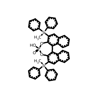 C[Si](c1ccccc1)(c1ccccc1)c1cc2ccccc2c2c1OP(=O)(O)Oc1c([Si](C)(c3ccccc3)c3ccccc3)cc3ccccc3c1-2